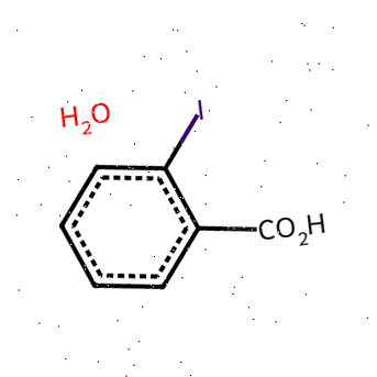 O.O=C(O)c1ccccc1I